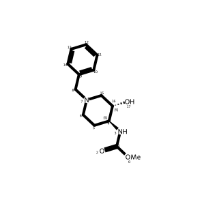 COC(=O)N[C@H]1CCN(Cc2ccccc2)C[C@@H]1O